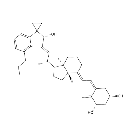 C=C1/C(=C\C=C2/CCC[C@]3(C)[C@@H]([C@H](C)/C=C/[C@@H](O)C4(c5cccc(CCC)n5)CC4)CC[C@@H]23)C[C@@H](O)C[C@@H]1O